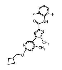 Cc1cc(OCC2CCC2)ncc1-c1cc(C(=O)Nc2c(F)cccc2F)nn1C